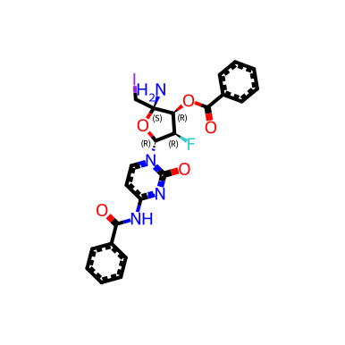 N[C@]1(CI)O[C@@H](n2ccc(NC(=O)c3ccccc3)nc2=O)[C@H](F)[C@@H]1OC(=O)c1ccccc1